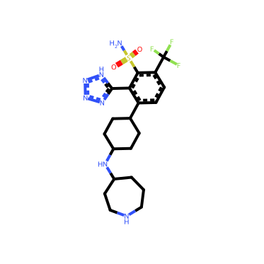 NS(=O)(=O)c1c(C(F)(F)F)ccc(C2CCC(NC3CCCNCC3)CC2)c1-c1nnn[nH]1